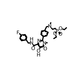 CCOP(=O)(CCN(C)Cc1ccc(-c2nc(C(=O)NCc3ccc(F)cc3)c(O)c(=O)n2C)cc1)OCC